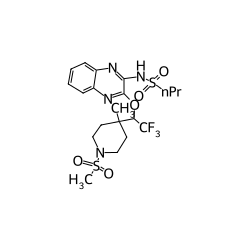 CCCS(=O)(=O)Nc1nc2ccccc2nc1OC(C(F)(F)F)C1(C)CCN(S(C)(=O)=O)CC1